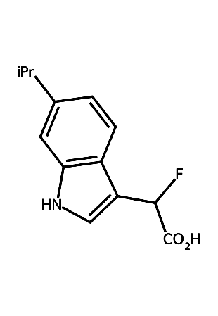 CC(C)c1ccc2c(C(F)C(=O)O)c[nH]c2c1